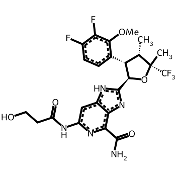 COc1c([C@H]2[C@H](c3nc4c(C(N)=O)nc(NC(=O)CCO)cc4[nH]3)O[C@@](C)(C(F)(F)F)[C@H]2C)ccc(F)c1F